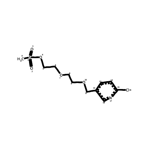 CS(=O)(=O)OCCOCCOCc1ccc(Cl)nc1